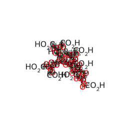 O=C(O)CC(=O)OCC(COC(=O)CC(=O)O)OC(=O)CC(=O)OCC(COC(=O)CC(=O)O)OC(=O)CC(=O)OCC(COC(=O)CC(=O)OC(COC(=O)CC(=O)OC(COC(=O)CC(=O)O)COC(=O)CC(=O)O)COC(=O)CC(=O)OC(COC(=O)CC(=O)O)COC(=O)CC(=O)O)OC(=O)CC(=O)OC(COC(=O)CC(=O)O)COC(=O)CC(=O)O